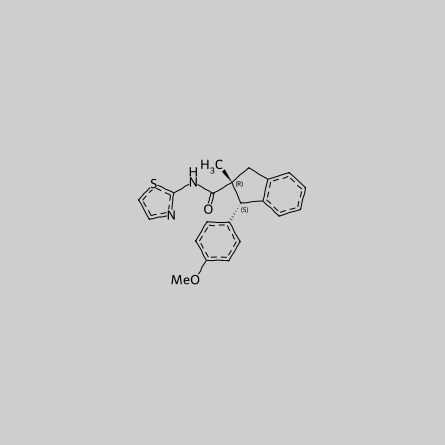 COc1ccc([C@H]2c3ccccc3C[C@@]2(C)C(=O)Nc2nccs2)cc1